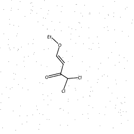 CCOC=CC(=O)C(Cl)Cl